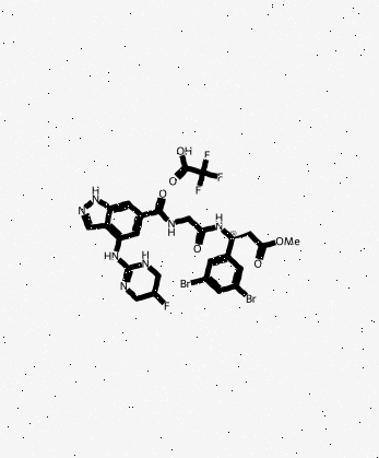 COC(=O)C[C@H](NC(=O)CNC(=O)c1cc(NC2=NCC(F)CN2)c2cn[nH]c2c1)c1cc(Br)cc(Br)c1.O=C(O)C(F)(F)F